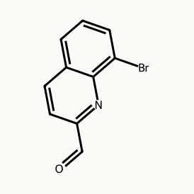 O=Cc1ccc2cccc(Br)c2n1